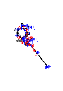 CCCC[C@H](NC(=O)[C@H](CNC(C)C)NC(=O)[C@H](Cc1c[nH]cn1)NC(=O)[C@H](CCC(N)=O)NC(=O)[C@H](CO)NC(=O)CNC(=O)COCCOCCNC(=O)CCCCCCCCCCCCCCCc1nnn[nH]1)C(=O)N[C@H]1CCC(=O)NCCCC[C@@H](C(C)=O)NC(=O)[C@H](Cc2c[nH]c3ccccc23)NC(=O)[C@H](CCCNC(=N)N)NC(=O)[C@@H](Cc2ccccc2)NC(=O)[C@@H]2C[C@@H](O)CN2C1=O